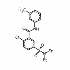 CCN(CC)S(=O)(=O)c1ccc(Cl)c(C(=O)Nc2cccc(C)c2)c1